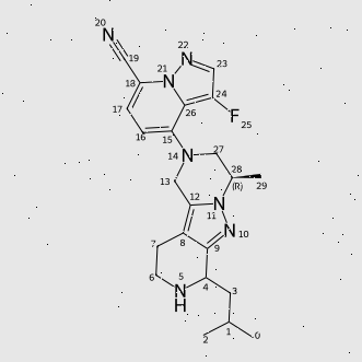 CC(C)CC1NCCc2c1nn1c2CN(c2ccc(C#N)n3ncc(F)c23)C[C@H]1C